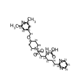 Cc1cc(COC2CCN(S(=O)(=O)CC(CCCc3ncccn3)NC(=O)O)CC2)cc(C)n1